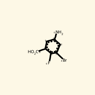 Nc1cc(Br)c(F)c(C(=O)O)c1